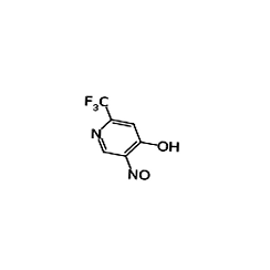 O=Nc1cnc(C(F)(F)F)cc1O